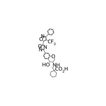 O=C(O)C1(CN[C@H]2COc3cc(-c4noc(-c5onc(-c6ccccc6)c5C(F)(F)F)n4)ccc3[C@H]2O)CCCCC1